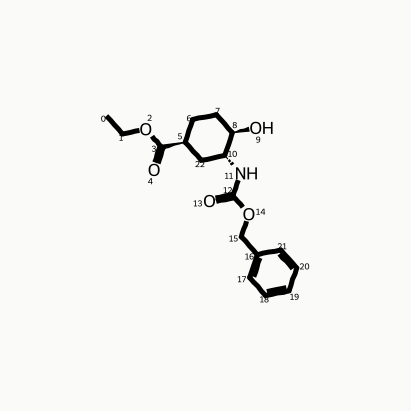 CCOC(=O)[C@H]1CC[C@@H](O)[C@H](NC(=O)OCc2ccccc2)C1